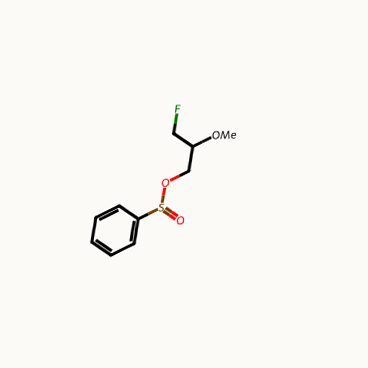 COC(CF)COS(=O)c1ccccc1